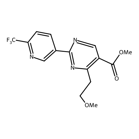 COCCc1nc(-c2ccc(C(F)(F)F)nc2)ncc1C(=O)OC